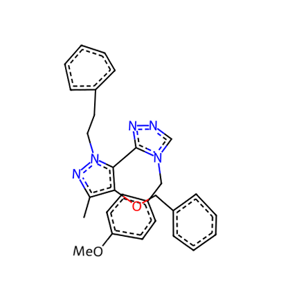 COc1ccc(Cn2cnnc2-c2c(OCc3ccccc3)c(C)nn2CCc2ccccc2)cc1